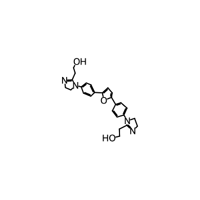 OCCC1=NCCN1c1ccc(-c2ccc(-c3ccc(N4CCN=C4CCO)cc3)o2)cc1